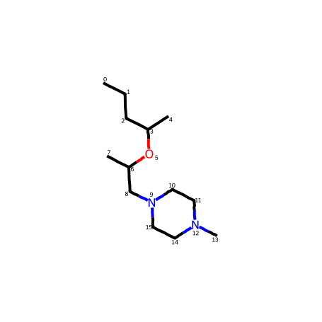 CCCC(C)OC(C)CN1CCN(C)CC1